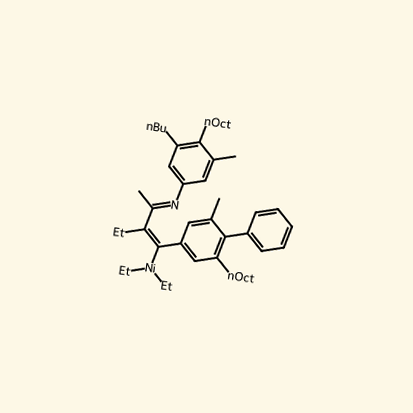 CCCCCCCCc1cc([C](=C(CC)C(C)=Nc2cc(C)c(CCCCCCCC)c(CCCC)c2)[Ni]([CH2]C)[CH2]C)cc(C)c1-c1ccccc1